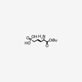 CC(C)COC(=O)C(N)/C=C/CP(=O)(O)O